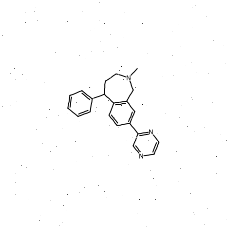 CN1CCC(c2ccccc2)c2ccc(-c3cnccn3)cc2C1